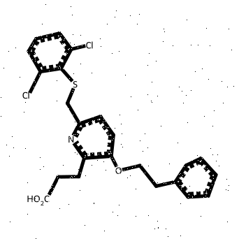 O=C(O)CCc1nc(CSc2c(Cl)cccc2Cl)ccc1OCCc1ccccc1